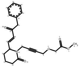 COC(=O)COCC#CCN1C(=O)CCCC1C=CC(=O)Cc1ccccc1